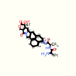 CC[C@@]1(O)C(=O)OCc2c1cc1n(c2=O)Cc2c-1cc1ccc(NC(=O)[C@H](C)NC(=O)C(N)C(C)C)c3c1c2CCC3